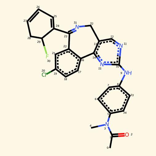 CC(=O)N(C)c1ccc(Nc2ncc3c(n2)-c2ccc(Cl)cc2C(C2=CC=CCC2F)=NC3)cc1